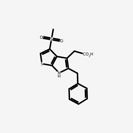 CS(=O)(=O)c1csc2[nH]c(Cc3ccccc3)c(CC(=O)O)c12